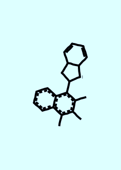 Cc1c(C)c(C2[C]C3C=CC=CC3C2)c2ccccc2c1C